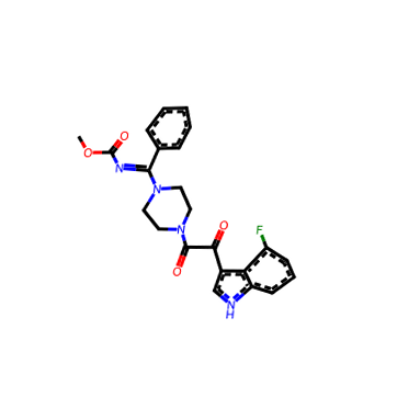 COC(=O)/N=C(\c1ccccc1)N1CCN(C(=O)C(=O)c2c[nH]c3cccc(F)c23)CC1